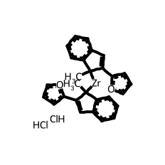 C[C]1([Zr][C]2(C)C(c3ccco3)=Cc3ccccc32)C(c2ccco2)=Cc2ccccc21.Cl.Cl